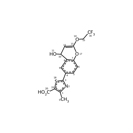 Cc1nc(-c2ccc3c(c2)C(O)C=C(OCC(F)(F)F)O3)sc1C(=O)O